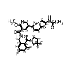 COc1ncc(-c2ccc3nc(NC(C)=O)cn3n2)cc1C(=O)NCc1cc(F)cc(F)c1C(=O)N1CCC(F)(F)C1